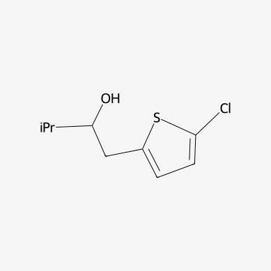 CC(C)C(O)Cc1ccc(Cl)s1